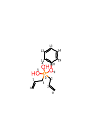 C=CCP(O)(O)(CC=C)Oc1ccccc1